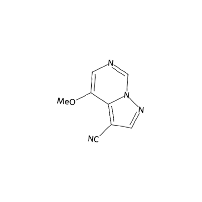 COc1cncn2ncc(C#N)c12